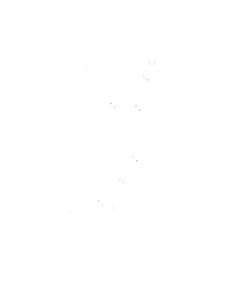 CCNC(=O)c1csc(N2CCC(n3c(=O)c(=O)n(C)c4cc(Cl)cnc43)CC2)n1